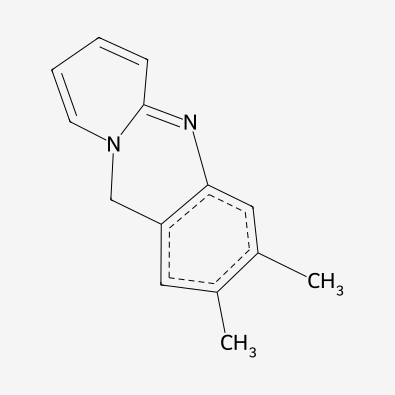 Cc1cc2c(cc1C)N=C1C=CC=CN1C2